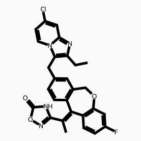 CCc1nc2cc(Cl)ccn2c1Cc1ccc2c(c1)COc1cc(F)ccc1/C2=C(\C)c1noc(=O)[nH]1